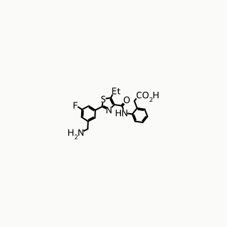 CCc1sc(-c2cc(F)cc(CN)c2)nc1C(=O)Nc1ccccc1CC(=O)O